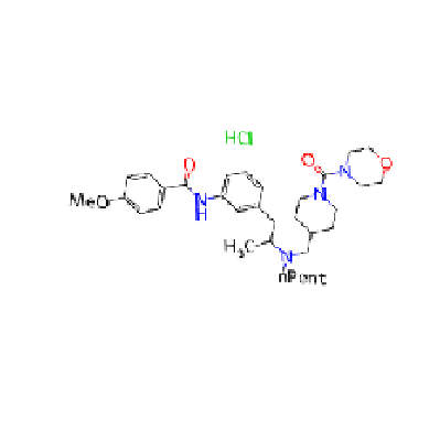 CCCCCN(CC1CCN(C(=O)N2CCOCC2)CC1)C(C)Cc1cccc(NC(=O)c2ccc(OC)cc2)c1.Cl